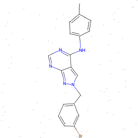 Cc1ccc(Nc2ncnc3nn(Cc4cccc(Br)c4)cc23)cc1